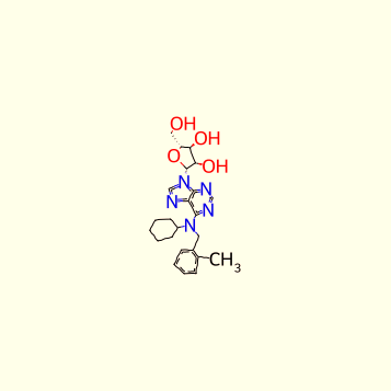 Cc1ccccc1CN(c1ncnc2c1ncn2[C@@H]1O[C@H](CO)[C@@H](O)[C@H]1O)C1CCCCC1